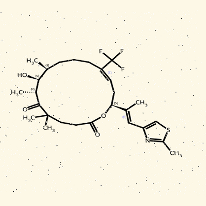 C/C(=C\c1csc(C)n1)[C@@H]1C/C=C(/C(F)(F)F)CCC[C@H](C)[C@H](O)[C@@H](C)C(=O)C(C)(C)CCC(=O)O1